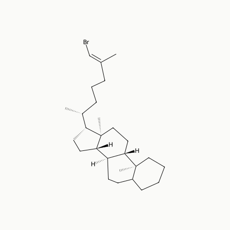 CC(=CBr)CCC[C@@H](C)[C@H]1CC[C@H]2[C@@H]3CCC4CCCC[C@]4(C)[C@H]3CC[C@]12C